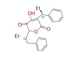 CC[C@@H](Cc1ccccc1)C1OC(=O)C([C@@H](CC)c2ccccc2)=C(O)C1=O